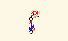 CCCSC(Cc1ccc(OCCN(C)c2nc3ccccc3o2)cc1)C(=O)O